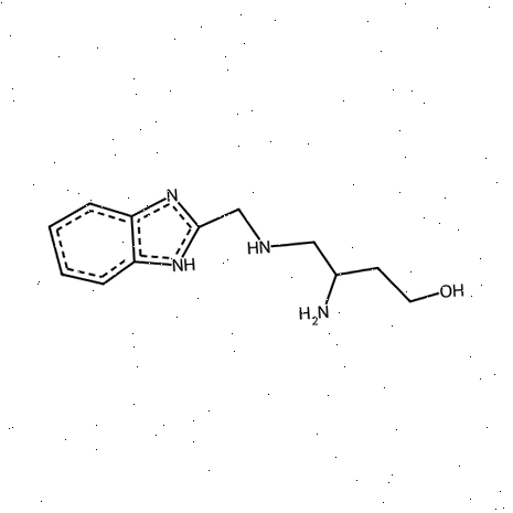 NC(CCO)CNCc1nc2ccccc2[nH]1